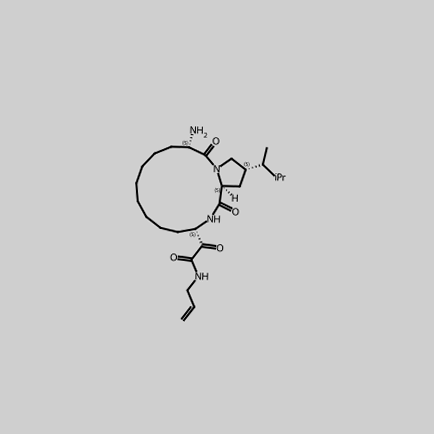 C=CCNC(=O)C(=O)[C@@H]1CCCCCCCC[C@H](N)C(=O)N2C[C@H](C(C)C(C)C)C[C@H]2C(=O)N1